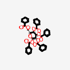 O=C(OC[C@H]1O[C@H](OC(=O)c2ccccc2)[C@@H](OC(=O)c2ccccc2)[C@H](OC(=O)c2ccccc2)[C@H]1OC(=O)c1ccccc1)c1ccccc1